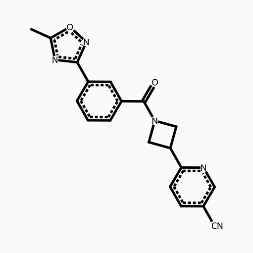 Cc1nc(-c2cccc(C(=O)N3CC(c4ccc(C#N)cn4)C3)c2)no1